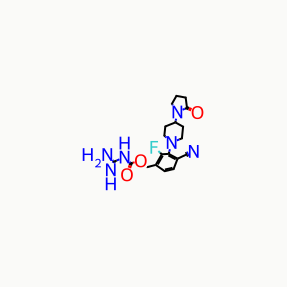 N#Cc1ccc(COC(=O)NC(=N)N)c(F)c1N1CCC(N2CCCC2=O)CC1